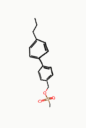 CCCc1ccc(-c2ccc(COS(C)(=O)=O)cc2)cc1